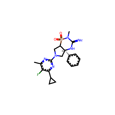 Cc1nc(N2CC3[C@](c4ccccc4)(C2)NC(=N)N(C)S3(=O)=O)nc(C2CC2)c1F